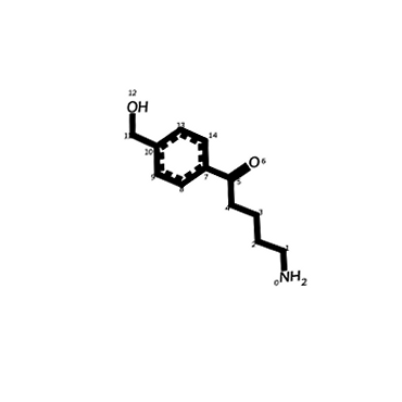 NCCCCC(=O)c1ccc(CO)cc1